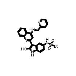 CCS(=O)(=O)Nc1ccc2[nH]c(O)c(-c3cc(NCc4ccccn4)c4ccccc4n3)c2c1